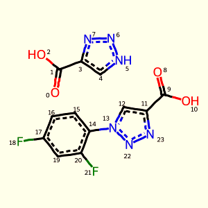 O=C(O)c1c[nH]nn1.O=C(O)c1cn(-c2ccc(F)cc2F)nn1